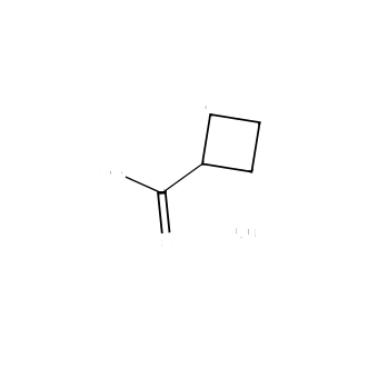 O=C([O-])C1CCC1.[Cu+]